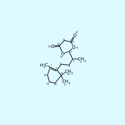 CC1=C(CCC(C)C2OC(=O)CC(=O)O2)C(C)(C)CCC1